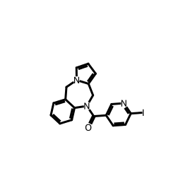 O=C(c1ccc(I)nc1)N1Cc2cccn2Cc2ccccc21